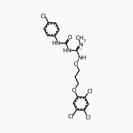 C/N=C(/NOCCCOc1cc(Cl)c(Cl)cc1Cl)NC(=O)Nc1ccc(Cl)cc1